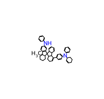 CC12CCCCC1C1(c3cc(Nc4ccccc4)ccc32)C2C=CC=CC2C2C(c3ccc(N(c4ccccc4)C4C=CCCC4)cc3)=CCCC21